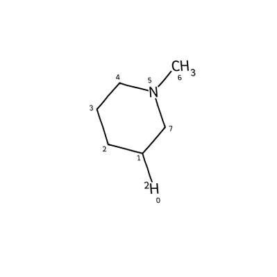 [2H]C1CCCN(C)C1